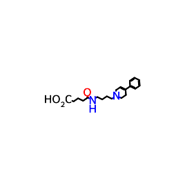 O=C(O)CCCC(=O)NCCCCN1CC=C(c2ccccc2)CC1